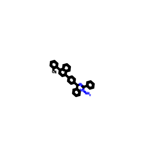 N#Cc1ccccc1-c1ccc(-c2ccc(C(/N=C(\NN)c3ccccc3)c3ccccc3)cc2)c2ccccc12